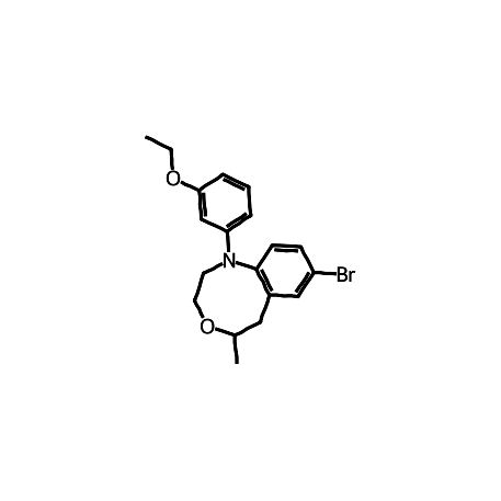 CCOc1cccc(N2CCOC(C)Cc3cc(Br)ccc32)c1